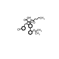 CCCCC(=O)Nc1c(C(=O)O)n(Cc2cccc(Cl)c2)c2cc(-c3ccccc3OC(C)C)ccc12